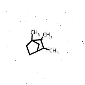 C[C]1C(C)C2CCC1(C)C2